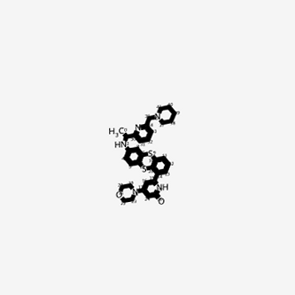 CC(Nc1ccc2c(c1)Sc1cccc(-c3cc(N4CCOCC4)cc(=O)[nH]3)c1S2)c1cccc(CN2CCCCC2)n1